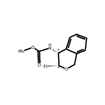 CC[C@H]1OCc2ccccc2[C@H]1NC(=O)OC(C)(C)C